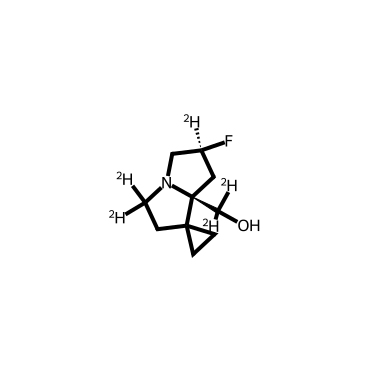 [2H]C1([2H])CC2(CC2)[C@@]2(C([2H])([2H])O)C[C@]([2H])(F)CN12